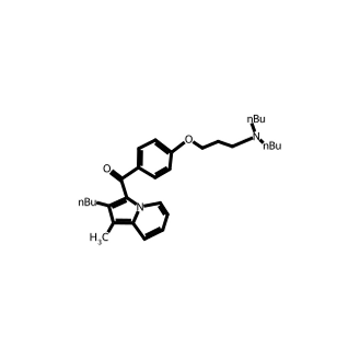 CCCCc1c(C)c2ccccn2c1C(=O)c1ccc(OCCCN(CCCC)CCCC)cc1